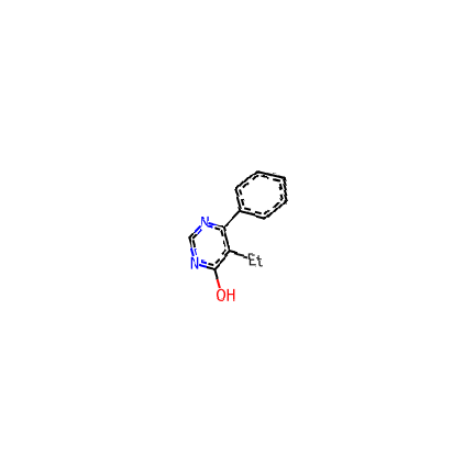 CCc1c(O)ncnc1-c1ccccc1